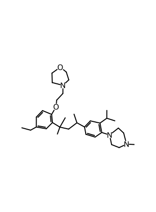 CCc1ccc(OCCN2CCOCC2)c(C(C)(C)CC(C)c2ccc(N3CCN(C)CC3)c(C(C)C)c2)c1